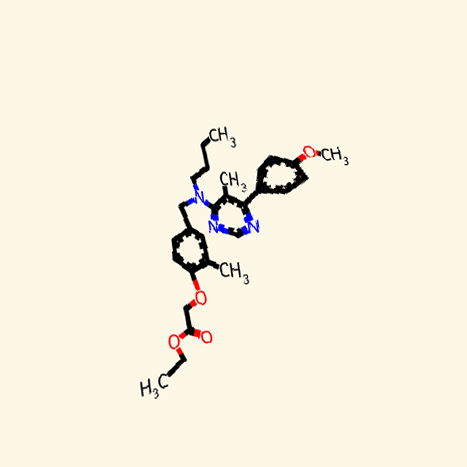 CCCCN(Cc1ccc(OCC(=O)OCC)c(C)c1)c1ncnc(-c2ccc(OC)cc2)c1C